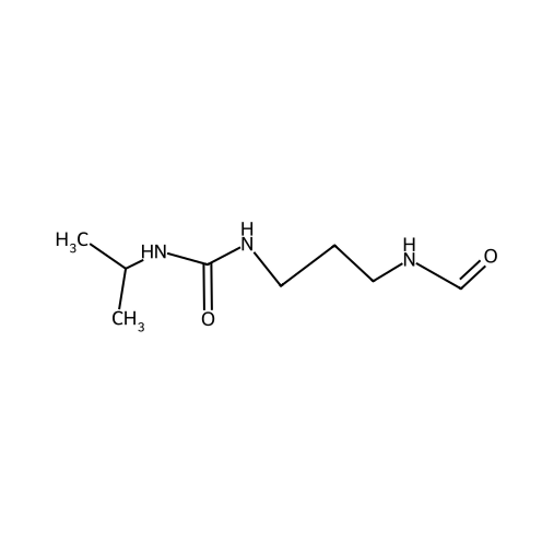 CC(C)NC(=O)NCCCNC=O